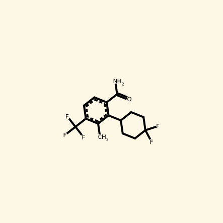 Cc1c(C(F)(F)F)ccc(C(N)=O)c1C1CCC(F)(F)CC1